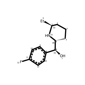 CC[C@H]1CCC[C@H]([C@@H](O)c2ccc(F)cc2)N1